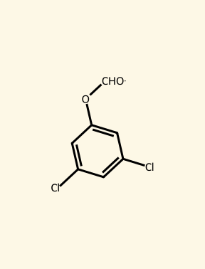 O=[C]Oc1cc(Cl)cc(Cl)c1